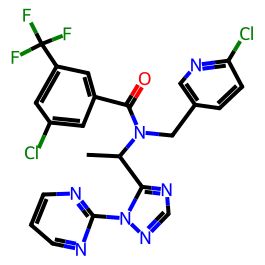 CC(c1ncnn1-c1ncccn1)N(Cc1ccc(Cl)nc1)C(=O)c1cc(Cl)cc(C(F)(F)F)c1